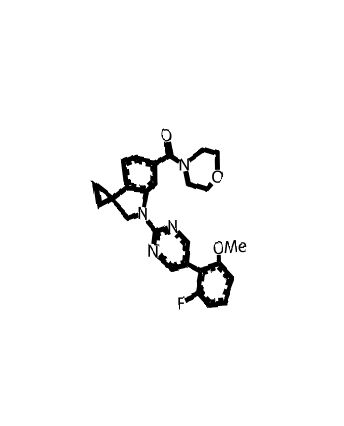 COc1cccc(F)c1-c1cnc(N2CC3(CC3)c3ccc(C(=O)N4CCOCC4)cc32)nc1